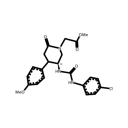 COC(=O)CN1C[C@@H](NC(=O)Nc2ccc(Cl)cc2)C(c2ccc(OC)cc2)CC1=O